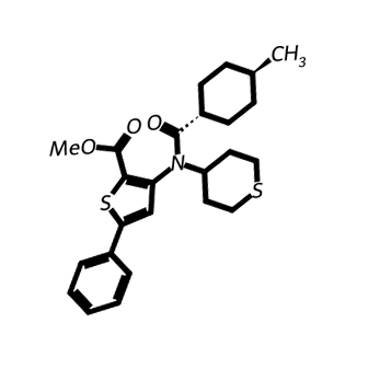 COC(=O)c1sc(-c2ccccc2)cc1N(C(=O)[C@H]1CC[C@H](C)CC1)C1CCSCC1